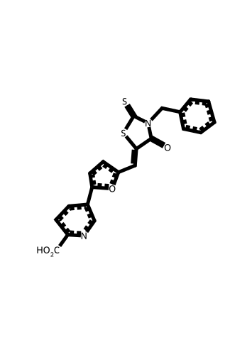 O=C(O)c1ccc(-c2ccc(/C=C3\SC(=S)N(Cc4ccccc4)C3=O)o2)cn1